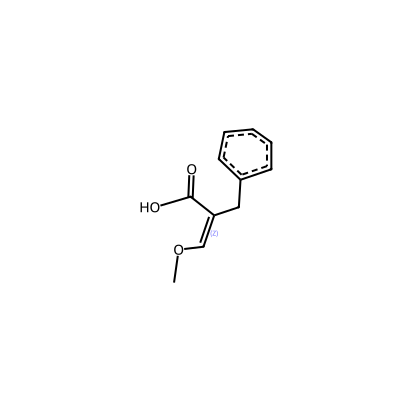 CO/C=C(/Cc1ccccc1)C(=O)O